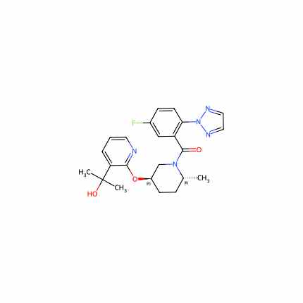 C[C@@H]1CC[C@@H](Oc2ncccc2C(C)(C)O)CN1C(=O)c1cc(F)ccc1-n1nccn1